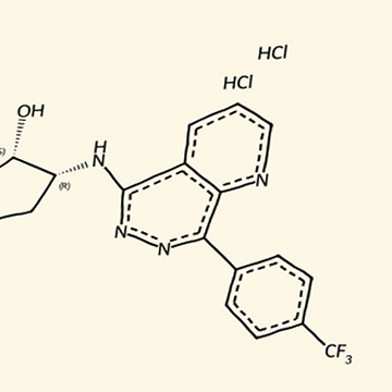 Cl.Cl.O[C@H]1CNC[C@H]1Nc1nnc(-c2ccc(C(F)(F)F)cc2)c2ncccc12